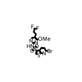 COc1nc(NS(=O)(=O)c2csc3nc(Br)ccc23)ncc1CCC(F)F